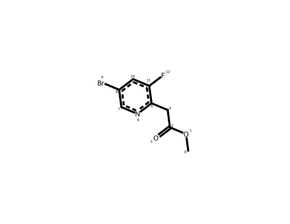 COC(=O)Cc1ncc(Br)cc1F